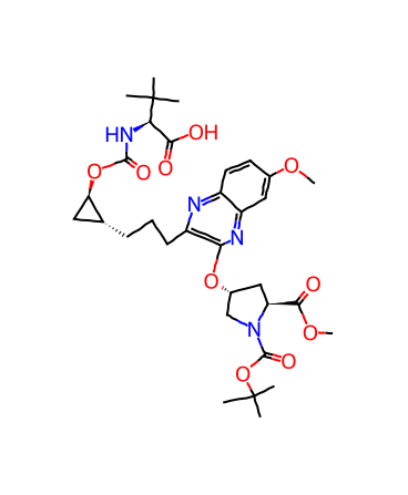 COC(=O)[C@@H]1C[C@@H](Oc2nc3cc(OC)ccc3nc2CCC[C@@H]2C[C@H]2OC(=O)N[C@H](C(=O)O)C(C)(C)C)CN1C(=O)OC(C)(C)C